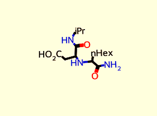 CCCCCCC(NC(CC(=O)O)C(=O)NC(C)C)C(N)=O